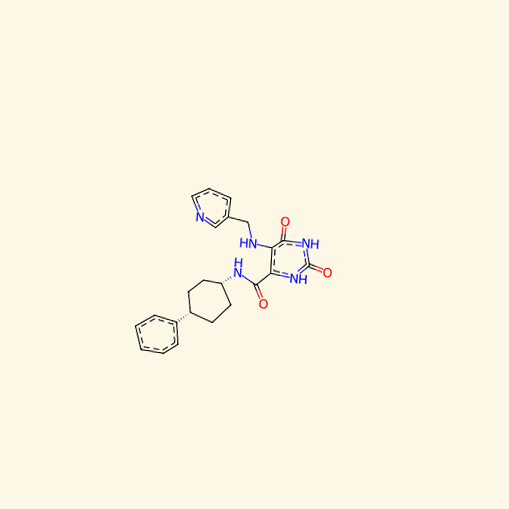 O=C(N[C@H]1CC[C@@H](c2ccccc2)CC1)c1[nH]c(=O)[nH]c(=O)c1NCc1cccnc1